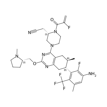 C=C(F)C(=O)N1CCN(c2nc(OC[C@@H]3CCCN3C)nc3c2C[C@@H](C)[C@H](c2c(F)c(N)cc(C)c2C(F)(F)F)C3)C[C@@H]1CC#N